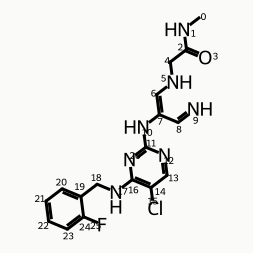 CNC(=O)CN/C=C(\C=N)Nc1ncc(Cl)c(NCc2ccccc2F)n1